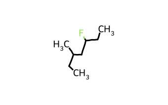 CCC(C)CC(F)CC